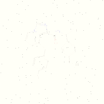 CC(NC(=O)c1ncn2cccc(Cc3ccc(C(F)(F)F)cc3)c12)c1ccc(C(=O)O)cc1